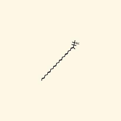 CC=CCCC=CCCC=CCCC=CCCC=CCCC=C(C)C(C)(C)C(C)(C)C(C)=O